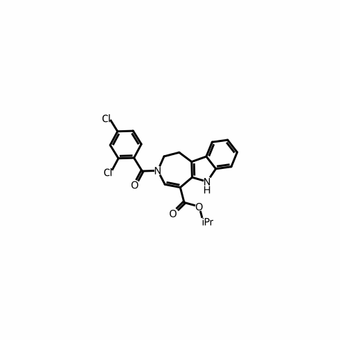 CC(C)OC(=O)C1=CN(C(=O)c2ccc(Cl)cc2Cl)CCc2c1[nH]c1ccccc21